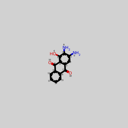 Nc1cc2c(c(O)c1N)C(=O)c1ccccc1C2=O